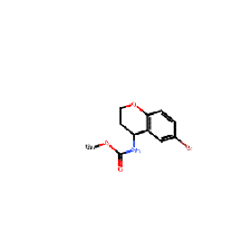 CC(C)(C)OC(=O)NC1CCOc2ccc(Br)cc21